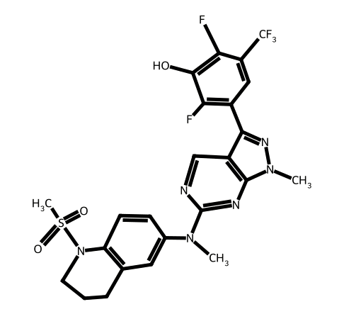 CN(c1ccc2c(c1)CCCN2S(C)(=O)=O)c1ncc2c(-c3cc(C(F)(F)F)c(F)c(O)c3F)nn(C)c2n1